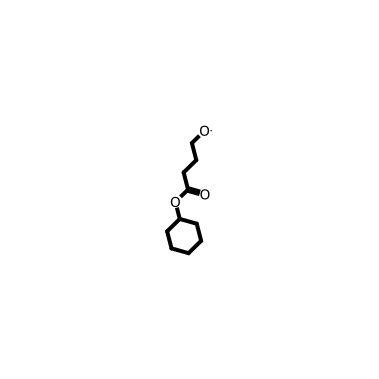 [O]CCCC(=O)OC1CCCCC1